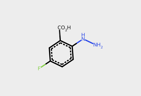 NNc1ccc(F)cc1C(=O)O